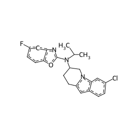 CC(C)N(c1nc2cc(F)ccc2o1)C1CCc2cc3ccc(Cl)cc3n2C1